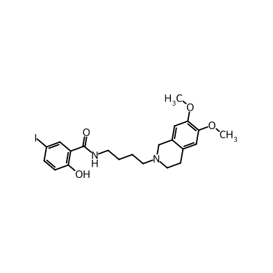 COc1cc2c(cc1OC)CN(CCCCNC(=O)c1cc(I)ccc1O)CC2